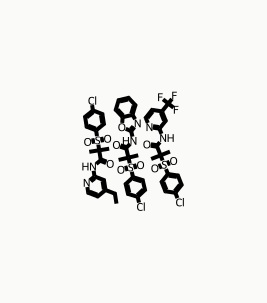 CC(C)(C(=O)Nc1cc(C(F)(F)F)ccn1)S(=O)(=O)c1ccc(Cl)cc1.CC(C)(C(=O)Nc1nc2ccccc2o1)S(=O)(=O)c1ccc(Cl)cc1.CCc1ccnc(NC(=O)C(C)(C)S(=O)(=O)c2ccc(Cl)cc2)c1